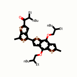 CCCCC(CC)COc1c2cc(-c3sc(C)c4sc(C(=O)C(CC)CCCC)cc34)sc2c(OCC(CC)CCCC)c2cc(C)sc12